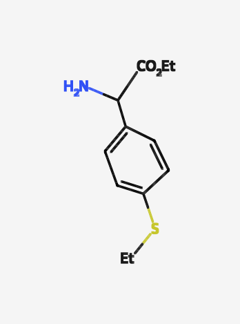 CCOC(=O)C(N)c1ccc(SCC)cc1